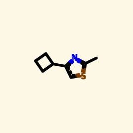 Cc1nc(C2CCC2)cs1